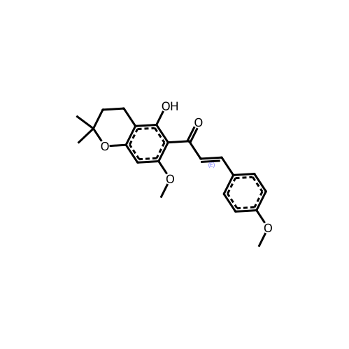 COc1ccc(/C=C/C(=O)c2c(OC)cc3c(c2O)CCC(C)(C)O3)cc1